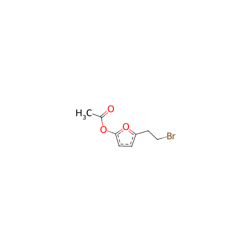 CC(=O)Oc1ccc(CCBr)o1